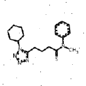 CN(C(=S)CCCc1nnnn1C1CCCCC1)c1ccccc1